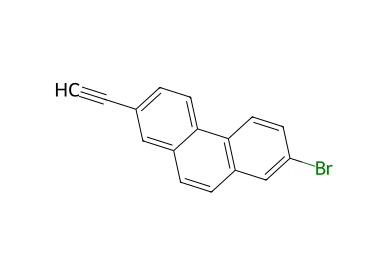 C#Cc1ccc2c(ccc3cc(Br)ccc32)c1